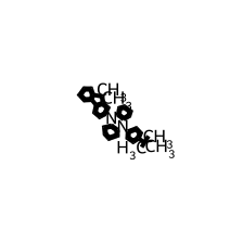 CC(C)(C)c1ccc(N2c3ccccc3N(c3ccc4c(c3)C(C)(C)c3ccccc3-4)c3ccccc32)cc1